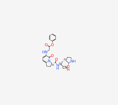 N#C[C@H](C[C@@H]1CCNC1O)NC(=O)[C@@H]1CCc2ccc(NCC(=O)Oc3ccccc3)c(=O)n21